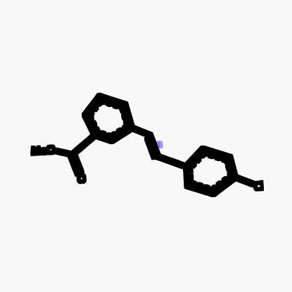 COC(=O)c1cccc(/C=C/c2ccc(Cl)cc2)c1